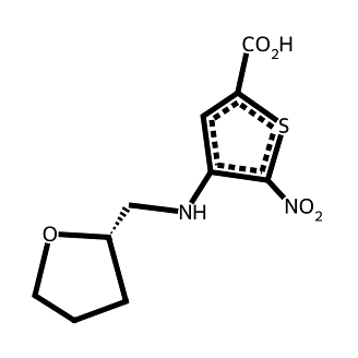 O=C(O)c1cc(NC[C@@H]2CCCO2)c([N+](=O)[O-])s1